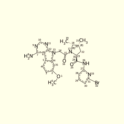 COc1ccc2c3c(N)ncnc3n(CC(=O)N3[C@H](C)[C@H](C)C[C@H]3C(=O)Nc3cccc(Br)n3)c2c1